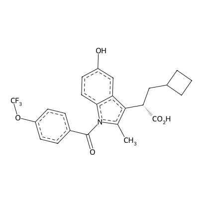 Cc1c([C@H](CC2CCC2)C(=O)O)c2cc(O)ccc2n1C(=O)c1ccc(OC(F)(F)F)cc1